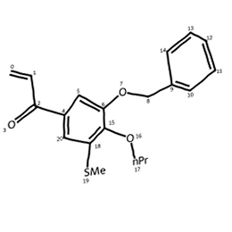 C=CC(=O)c1cc(OCc2ccccc2)c(OCCC)c(SC)c1